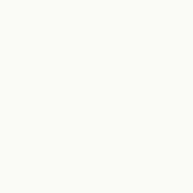 c1ccc(OCCOc2ccc3c(c2)CCCC3)cc1